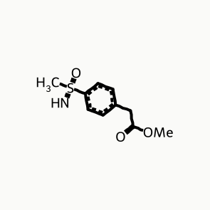 COC(=O)Cc1ccc(S(C)(=N)=O)cc1